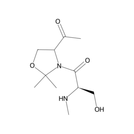 CN[C@H](CO)C(=O)N1C(C(C)=O)COC1(C)C